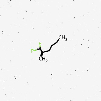 C=C(CCCC)C(F)F